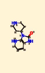 O=c1[nH]c2c(n1C1CCNCC1)NCC=C2